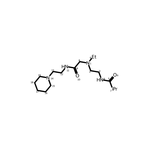 CCN(CCNC(=O)C(C)C)CC(=O)NCCN1CCCCC1